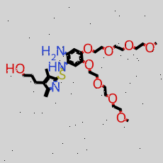 C=C1N=C(SNc2cc(OCCOCCOCCOC)c(OCCOCCOCCOC)cc2N)C(C)=C1CCCO